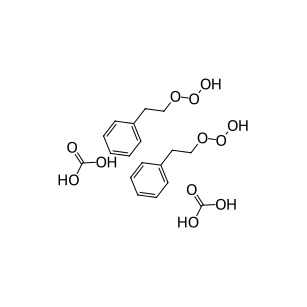 O=C(O)O.O=C(O)O.OOOCCc1ccccc1.OOOCCc1ccccc1